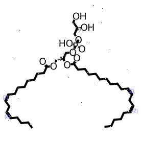 CCCC/C=C\C/C=C\CCCCCCCC(=O)OC[C@H](COP(=O)(O)OC[C@@H](O)CO)OC(=O)CCCCCCCCC/C=C\C/C=C\CCCCC